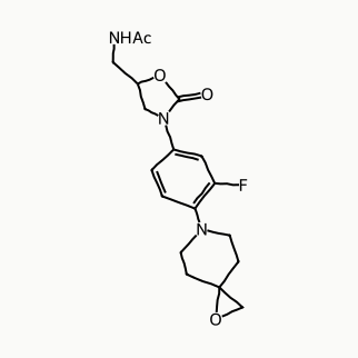 CC(=O)NCC1CN(c2ccc(N3CCC4(CC3)CO4)c(F)c2)C(=O)O1